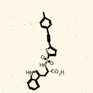 Cc1ccc(C#Cc2ccc(S(=O)(=O)N[C@@H](Cc3c[nH]c4ccccc34)C(=O)O)s2)cc1